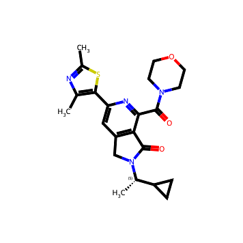 Cc1nc(C)c(-c2cc3c(c(C(=O)N4CCOCC4)n2)C(=O)N([C@@H](C)C2CC2)C3)s1